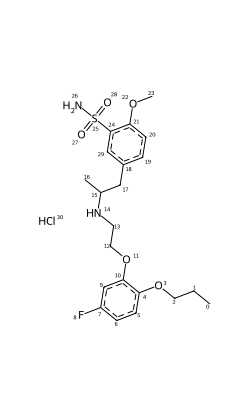 CCCOc1ccc(F)cc1OCCNC(C)Cc1ccc(OC)c(S(N)(=O)=O)c1.Cl